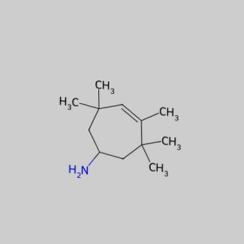 CC1=CC(C)(C)CC(N)CC1(C)C